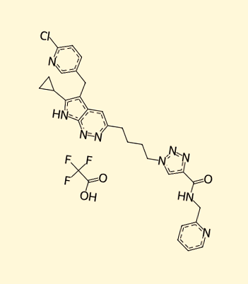 O=C(NCc1ccccn1)c1cn(CCCCc2cc3c(Cc4ccc(Cl)nc4)c(C4CC4)[nH]c3nn2)nn1.O=C(O)C(F)(F)F